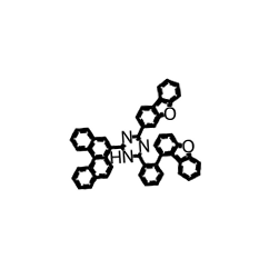 c1ccc(C2N=C(c3ccc4c(c3)oc3ccccc34)N=C(c3cc4ccccc4c4c3ccc3ccccc34)N2)c(-c2cccc3oc4ccccc4c23)c1